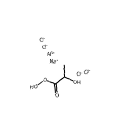 CC(O)C(=O)OO.[Al+3].[Cl-].[Cl-].[Cl-].[Cl-].[Na+]